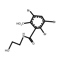 O=C(O)c1c(Br)cc(Br)c(Br)c1C(=O)NCCO